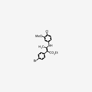 CCOC(=O)/C(=C(/C)Nc1ccc(Cl)c(OC)c1)c1ccc(Br)cc1